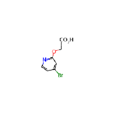 O=C(O)COc1cc(Br)ccn1